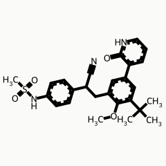 COc1c(CC(C#N)c2ccc(NS(C)(=O)=O)cc2)cc(-c2ccc[nH]c2=O)cc1C(C)(C)C